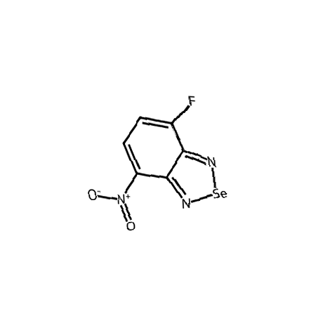 O=[N+]([O-])c1ccc(F)c2n[se]nc12